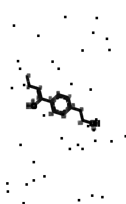 CCC=C(O)c1ccc(CCO)cc1